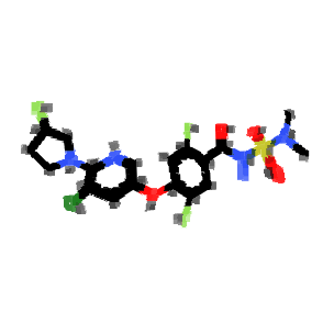 CN(C)S(=O)(=O)NC(=O)c1cc(F)c(Oc2cnc(N3CCC(F)C3)c(Cl)c2)cc1F